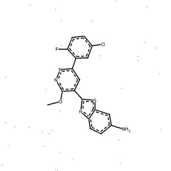 COc1nnc(-c2cc(Cl)ccc2F)cc1-c1nc2ccc(N)cc2s1